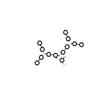 CCC(C)c1cc2c3c(c1)Oc1cc(-c4ccc(N(c5ccc(-c6ccccc6)cc5)c5ccc(-c6ccccc6)cc5)cc4)ccc1N3c1ccc(-c3ccc(N(c4ccc(-c5ccccc5)cc4)c4ccc(-c5ccccc5)cc4)cc3)cc1O2